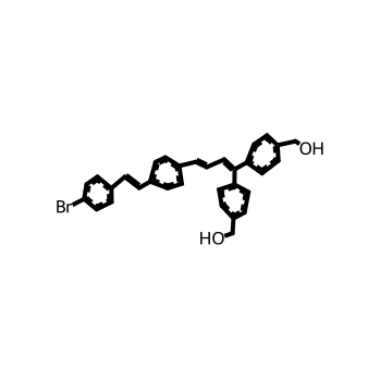 OCc1ccc(C(=CC=Cc2ccc(C=Cc3ccc(Br)cc3)cc2)c2ccc(CO)cc2)cc1